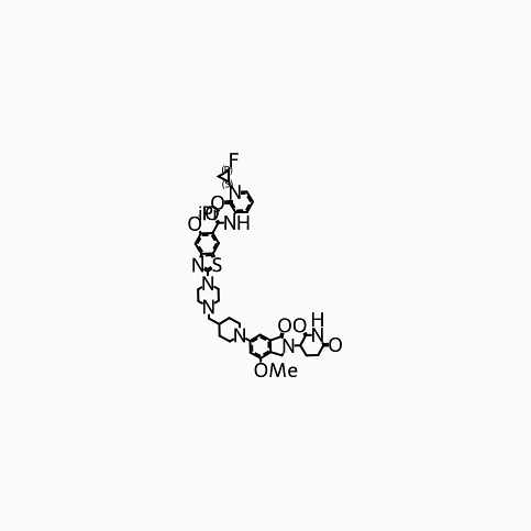 COc1cc(N2CCC(CN3CCN(c4nc5cc(OC(C)C)c(C(=O)Nc6cccn([C@H]7C[C@H]7F)c6=O)cc5s4)CC3)CC2)cc2c1CN(C1CCC(=O)NC1=O)C2=O